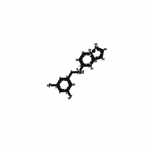 Fc1cc(F)cc(CNc2ccn3nccc3n2)c1